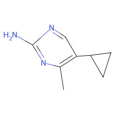 Cc1nc(N)ncc1C1CC1